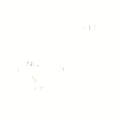 Br.CC#CC(C)(N)CCCCCCCCCCCC